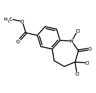 COC(=O)c1ccc2c(c1)CCC(Cl)(Cl)C(=O)N2Cl